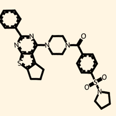 O=C(c1ccc(S(=O)(=O)N2CCCC2)cc1)N1CCN(c2nc(-c3ccccc3)nc3sc4c(c23)CCC4)CC1